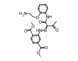 COC(=O)c1ccc(C(=O)OC)c(N/N=C(/C(C)=O)C(=O)Nc2ccccc2OCCN)c1